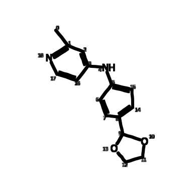 Cc1cc(Nc2ccc(C3OCCO3)cc2)ccn1